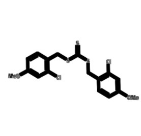 COc1ccc(CSC(=S)SCc2ccc(OC)cc2Cl)c(Cl)c1